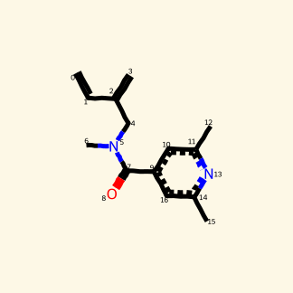 C=CC(=C)CN(C)C(=O)c1cc(C)nc(C)c1